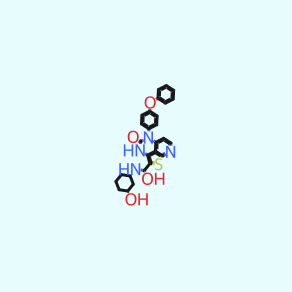 O=C1Nc2c(C(O)N[C@@H]3CCC[C@@H](O)C3)sc3nccc(c23)N1c1ccc(Oc2ccccc2)cc1